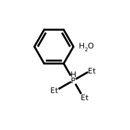 CC[PH](CC)(CC)c1ccccc1.O